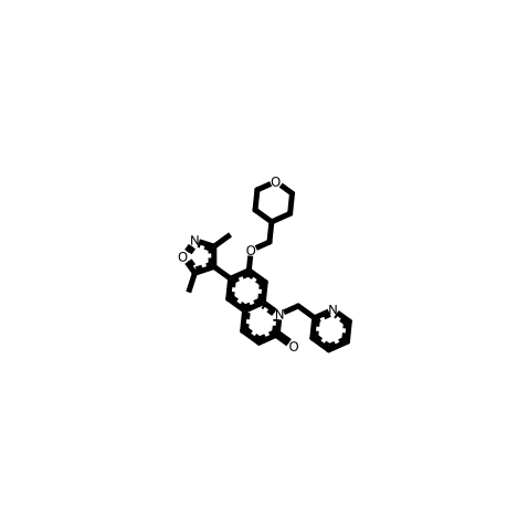 Cc1noc(C)c1-c1cc2ccc(=O)n(Cc3ccccn3)c2cc1OCC1CCOCC1